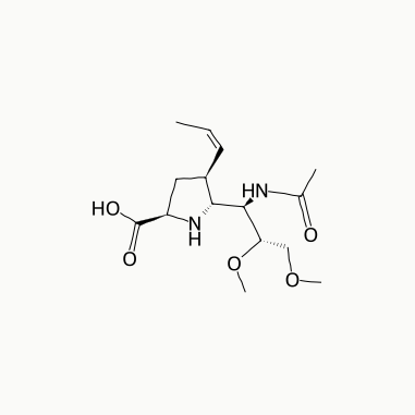 C/C=C\[C@@H]1C[C@H](C(=O)O)N[C@H]1[C@@H](NC(C)=O)[C@H](COC)OC